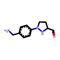 NCc1ccc(N2CCC(C=O)N2)cc1